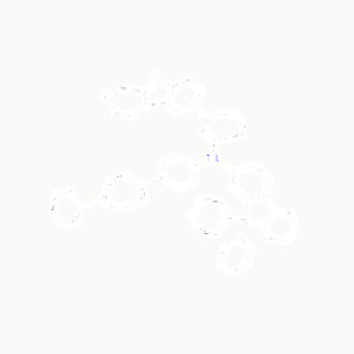 c1ccc(-c2ccc(-c3ccc(N(c4cccc(-c5ccc6oc7ccccc7c6c5)c4)c4ccc5c(c4)C(c4ccccc4)(c4ccccc4)c4ccccc4-5)cc3)cc2)cc1